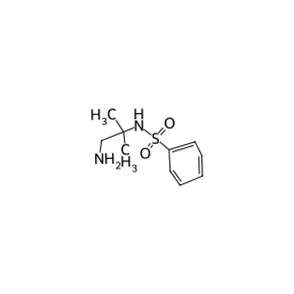 CC(C)(CN)NS(=O)(=O)c1ccccc1